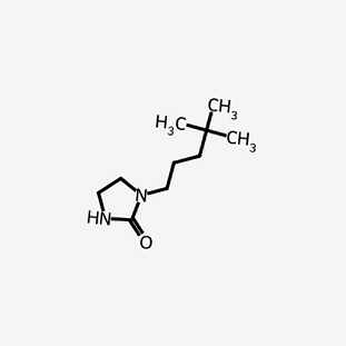 CC(C)(C)CCCN1CCNC1=O